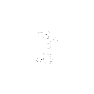 CC1(C)CCC(C)(C)c2cc(N(c3ccccc3)c3ccc(-c4ccc(N(c5ccccc5)c5cccc6oc7ccccc7c56)cc4)cc3)ccc21